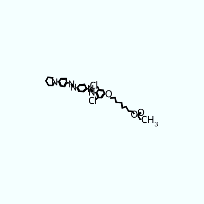 CCC(=O)OCCCCCCCCOc1cc(Cl)c(N=Nc2ccc(N=Nc3ccc(N4CCCCC4)cc3)cc2)c(Cl)c1